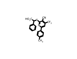 Cc1ccc(-c2cc(C(F)(F)F)c(C#N)c(SC(C(=O)O)c3ccccc3)n2)cc1